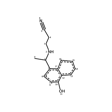 CC(NCCC#N)c1cnc(O)c2ccccc12